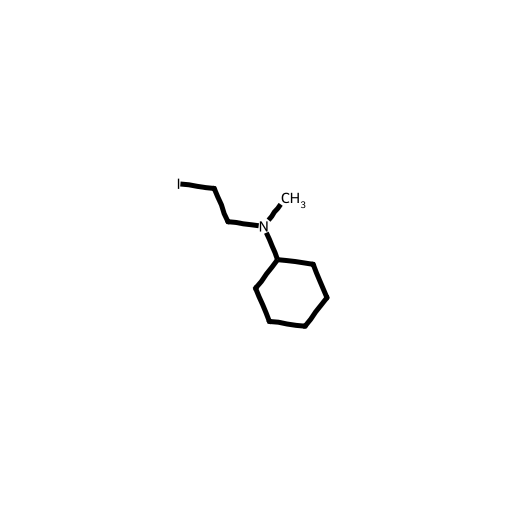 CN(CCI)C1CCCCC1